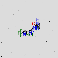 Cl.O=C(NCc1cc(-c2ccc(C(F)(F)F)nc2)ncn1)[C@H]1NCC[C@H]1F